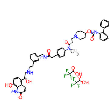 CN(C(=O)CCN1CCC(OC(=O)Nc2ccccc2-c2ccccc2)CC1)c1ccc(CC(=O)NCc2cccc(CCNC[C@H](O)c3ccc(O)c4[nH]c(=O)ccc34)c2)cc1.O=C(O)C(F)(F)F.O=C(O)C(F)(F)F